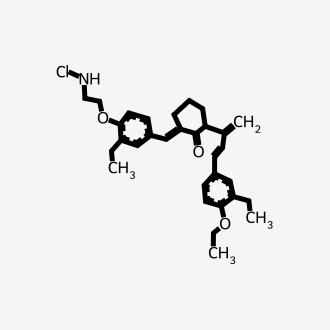 C=C(/C=C/c1ccc(OCC)c(CC)c1)C1CCC/C(=C\c2ccc(OCCNCl)c(CC)c2)C1=O